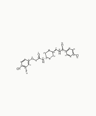 O=C(COc1ccc(Cl)c(F)c1)N[C@H]1CC[C@H](CNC(=O)c2ccc(Cl)cc2)CC1